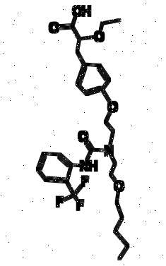 CCCCCOCCN(CCOc1ccc(CC(OCC)C(=O)O)cc1)C(=O)Nc1ccccc1C(F)(F)F